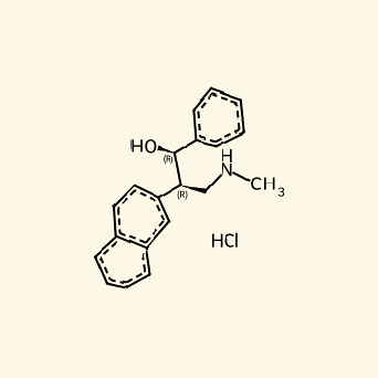 CNC[C@@H](c1ccc2ccccc2c1)[C@@H](O)c1ccccc1.Cl